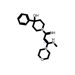 CN/C(=C\C(=N)N1CCC(O)(c2ccccc2)CC1)N1CCOCC1